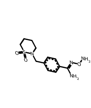 NON=C(N)c1ccc(CN2CCCCS2(=O)=O)cc1